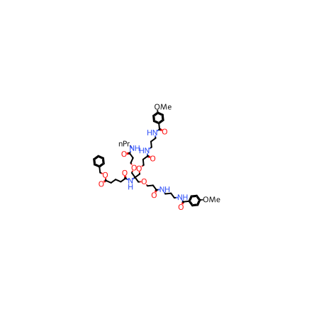 CCCNC(=O)CCOCC(COCCC(=O)NCCCNC(=O)c1ccc(OC)cc1)(COCCC(=O)NCCCNC(=O)c1ccc(OC)cc1)NC(=O)CCCC(=O)OCc1ccccc1